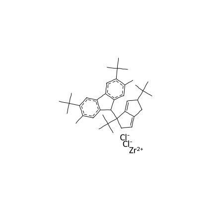 Cc1cc2c(cc1C(C)(C)C)-c1cc(C(C)(C)C)c(C)cc1C2C1(C(C)(C)C)CC=C2CC(C(C)(C)C)C=C21.[Cl-].[Cl-].[Zr+2]